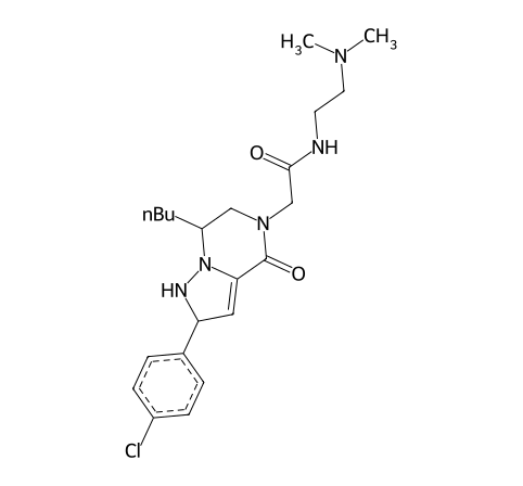 CCCCC1CN(CC(=O)NCCN(C)C)C(=O)C2=CC(c3ccc(Cl)cc3)NN21